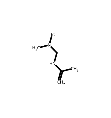 C=C(C)NCN(C)CC